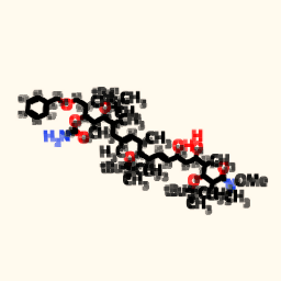 CON(C)C(=O)C(C)C(O[Si](C)(C)C(C)(C)C)C(C)C(O)CC(O)C=C[C@H](C)[C@H](O[Si](C)(C)C(C)(C)C)[C@@H](C)C=C(C)C[C@H](C)[C@@H](O[Si](C)(C)C(C)(C)C)[C@H](C)[C@@H](OC(N)=O)[C@@H](C)COCc1ccccc1